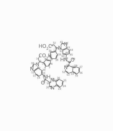 O=C(O)CC(c1ccccc1)n1cnc2ccc(NC(=O)c3cnc4ccccc4n3)cc21.O=C(O)CC(c1ccccc1)n1cnc2ccc(NC(=O)c3nccc4ccccc34)cc21